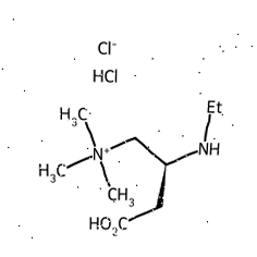 CCN[C@@H](CC(=O)O)C[N+](C)(C)C.Cl.[Cl-]